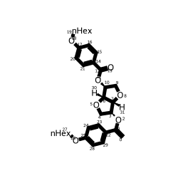 C=C(O[C@@H]1CO[C@H]2[C@@H]1OC[C@@H]2OC(=O)c1ccc(OCCCCCC)cc1)c1ccc(OCCCCCC)cc1